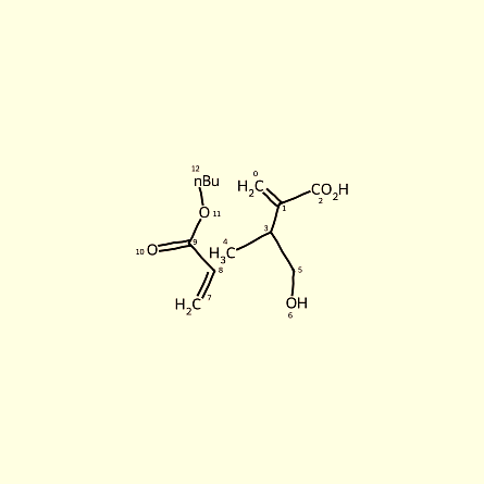 C=C(C(=O)O)C(C)CO.C=CC(=O)OCCCC